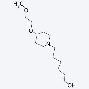 COCCOC1CCN(CCCCCCO)CC1